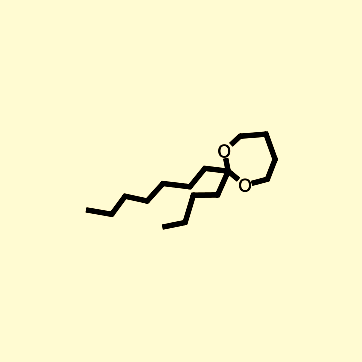 CCCCCCCC1(CCCC)OCCCCO1